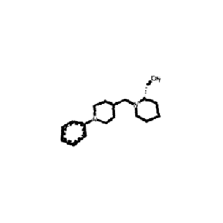 OC[C@@H]1CCCCN1CC1CCN(c2ccccc2)CC1